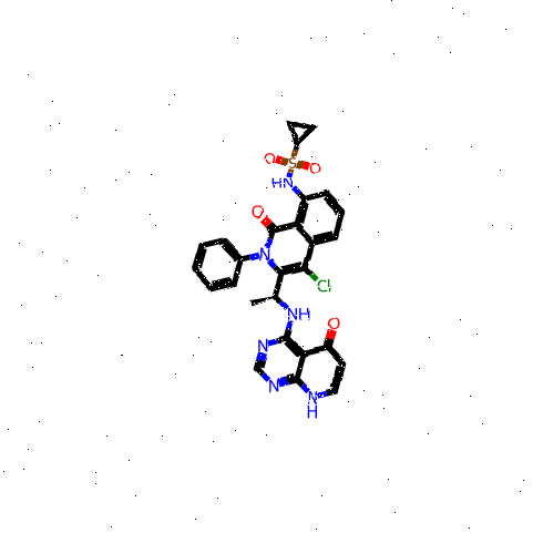 C[C@H](Nc1ncnc2[nH]ccc(=O)c12)c1c(Cl)c2cccc(NS(=O)(=O)C3CC3)c2c(=O)n1-c1ccccc1